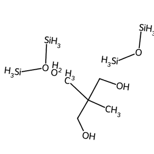 CC(C)(CO)CO.O.[SiH3]O[SiH3].[SiH3]O[SiH3]